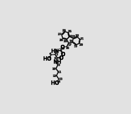 O=C(NC(CO)C(=O)NCCCCCO)OCC1c2ccccc2-c2ccccc21